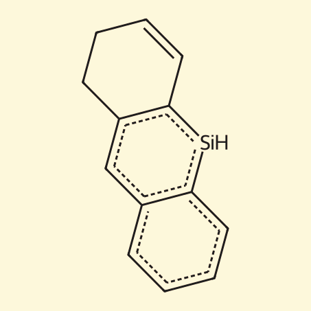 C1=Cc2[siH]c3ccccc3cc2CC1